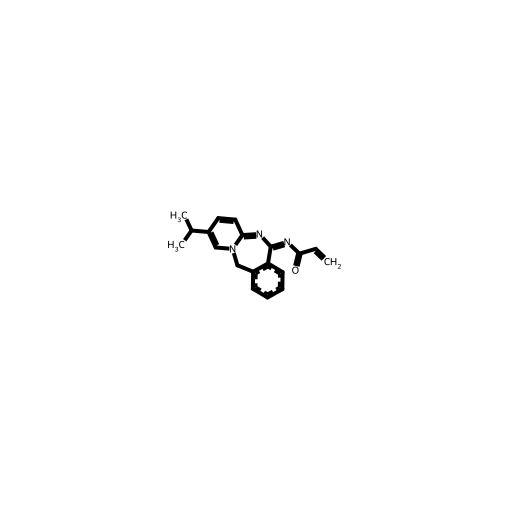 C=CC(=O)/N=C1/N=C2C=CC(C(C)C)=CN2Cc2ccccc21